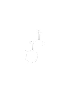 CCC(=O)NC1CCCC[N]1